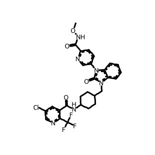 CONC(=O)c1ccc(-n2c(=O)n(CC3CCC(NC(=O)c4cc(Cl)cnc4C(F)(F)F)CC3)c3ccccc32)cn1